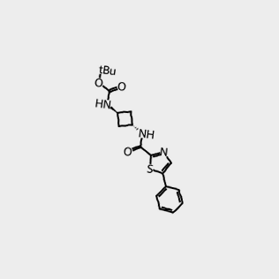 CC(C)(C)OC(=O)N[C@H]1C[C@H](NC(=O)c2ncc(-c3ccccc3)s2)C1